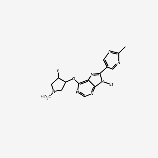 CCn1c(-c2cnc(C)nc2)nc2c(OC3CN(C(=O)O)CC3F)ncnc21